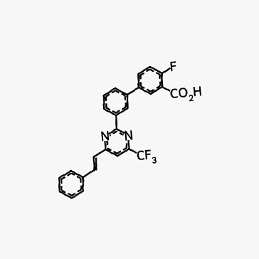 O=C(O)c1cc(-c2cccc(-c3nc(/C=C/c4ccccc4)cc(C(F)(F)F)n3)c2)ccc1F